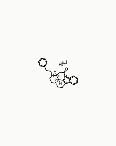 Cl.Cl.O=C1C[C@@H]2[C@@H]3c4c(c5ccccc5n41)CCN3CCN2CCc1ccccc1